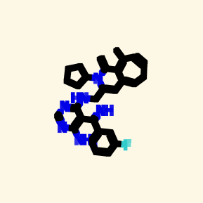 C=C1C2=C(C)C#CCC=C2C=C(CNc2ncnc(N)c2C(=N)c2cccc(F)c2)N1C1CCCC1